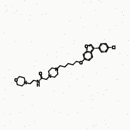 O=C(CN1CCN(CCCCCOc2ccc3c(-c4ccc(Cl)cc4)coc3c2)CC1)NCCN1CCOCC1